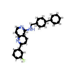 Fc1cccc(-c2ccc3c(NCc4ccc(-c5ccccc5)cc4)nccc3n2)c1